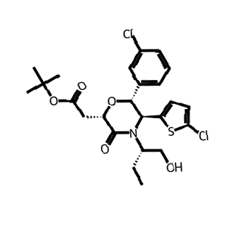 CC[C@@H](CO)N1C(=O)[C@H](CC(=O)OC(C)(C)C)O[C@H](c2cccc(Cl)c2)[C@H]1c1ccc(Cl)s1